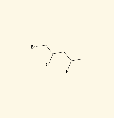 CC(F)CC(Cl)CBr